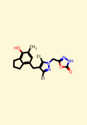 CCc1nn(Cc2n[nH]c(=O)o2)c(CC)c1Cc1cc(C)c(O)c2c1CCC2